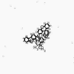 CC1(C)CCC(C)(C)c2c(N(c3ccc4c(c3)C3(c5ccccc5O4)C4CC5CC(C4)CC3C5)c3ccc4c(c3)oc3ccccc34)cccc21